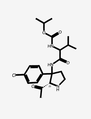 [CH2]C(=O)[C@H]1NCCC1(NC(=O)C(NC(=O)OC(C)C)C(C)C)c1ccc(Cl)cc1